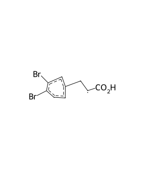 O=C(O)[CH]Cc1ccc(Br)c(Br)c1